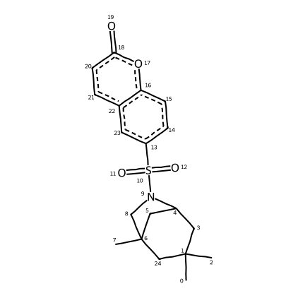 CC1(C)CC2CC(C)(CN2S(=O)(=O)c2ccc3oc(=O)ccc3c2)C1